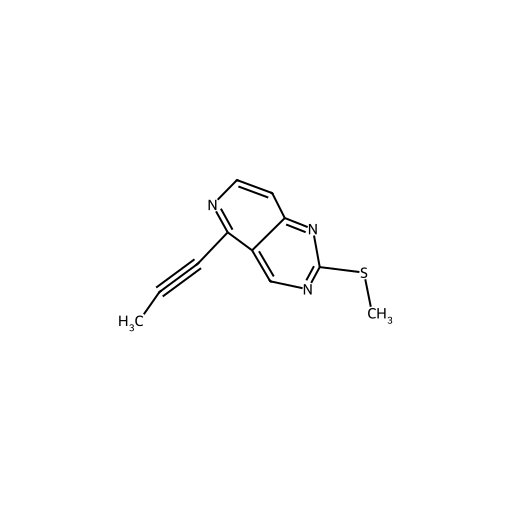 CC#Cc1nccc2nc(SC)ncc12